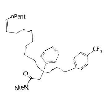 CCCCC/C=C\C/C=C\C/C=C\CCC(CCCc1ccc(C(F)(F)F)cc1)(CC(=O)NC)c1ccccc1